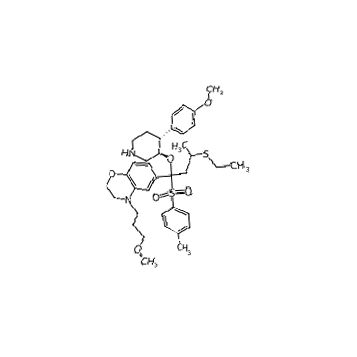 CCSC(C)CC(O[C@H]1CNCC[C@@H]1c1ccc(OC)cc1)(c1ccc2c(c1)N(CCCOC)CCO2)S(=O)(=O)c1ccc(C)cc1